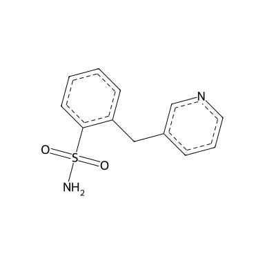 NS(=O)(=O)c1ccccc1Cc1cccnc1